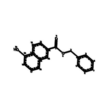 O=C(OCc1ccccc1)c1cnc2c(O)cccc2c1